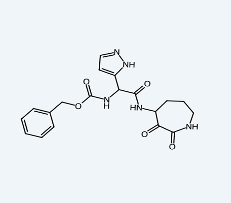 O=C(NC(C(=O)NC1CCCNC(=O)C1=O)c1ccn[nH]1)OCc1ccccc1